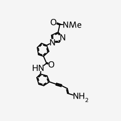 CNC(=O)c1cn(-c2cccc(C(=O)Nc3cccc(C#C/C=C/N)c3)c2)cn1